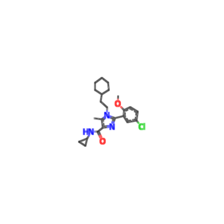 COc1ccc(Cl)cc1-c1nc(C(=O)NC2CC2)c(C)n1CCC1CCCCC1